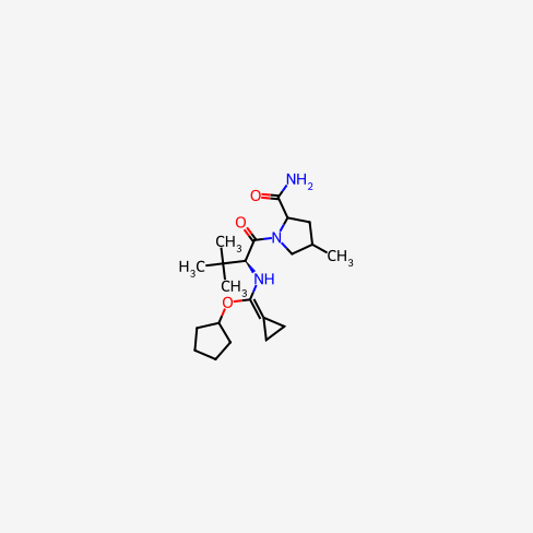 CC1CC(C(N)=O)N(C(=O)[C@@H](NC(OC2CCCC2)=C2CC2)C(C)(C)C)C1